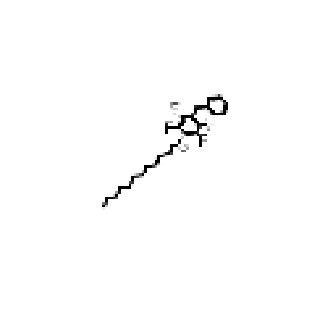 CCCCCCCCCCCCSc1c(F)c(F)c(Cc2ccccc2)c(F)c1F